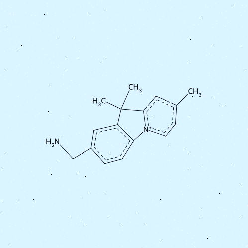 Cc1cc[n+]2c(c1)C(C)(C)c1cc(CN)ccc1-2